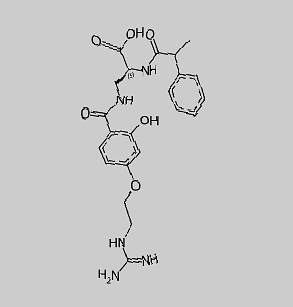 CC(C(=O)N[C@@H](CNC(=O)c1ccc(OCCNC(=N)N)cc1O)C(=O)O)c1ccccc1